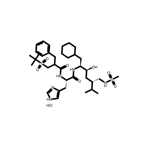 CC(C)[C@@H](CNS(C)(=O)=O)C[C@H](O)[C@H](CC1CCCCC1)NC(=O)[C@H](Cc1c[nH]cn1)NC(=O)C(Cc1ccccc1)CS(=O)(=O)C(C)(C)C.Cl